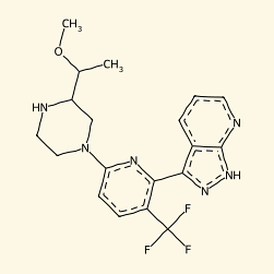 COC(C)C1CN(c2ccc(C(F)(F)F)c(-c3n[nH]c4ncccc34)n2)CCN1